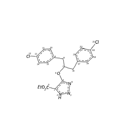 CCOC(=O)c1[nH]nnc1OC(Cc1ccc(Cl)cc1)Cc1ccc(Cl)cc1